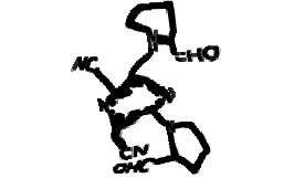 N#Cc1nc(C#N)c(N2CCCC2C=O)nc1N1CCCC1C=O